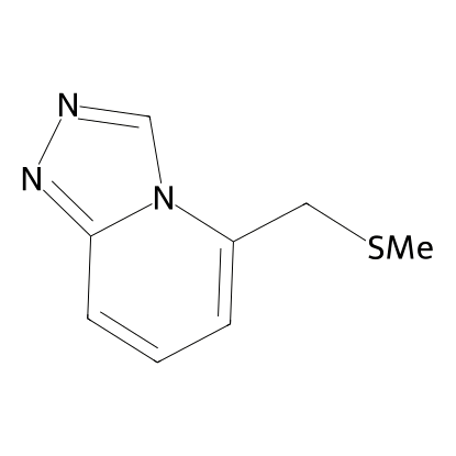 CSCc1cccc2nncn12